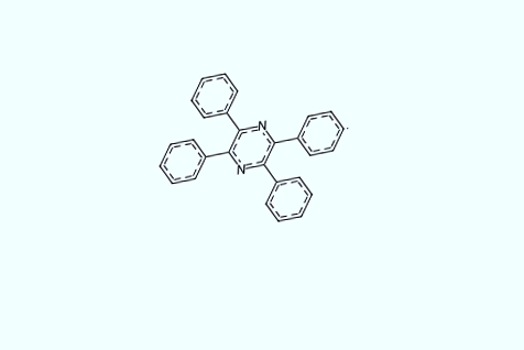 [c]1ccc(-c2nc(-c3ccccc3)c(-c3ccccc3)nc2-c2ccccc2)cc1